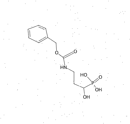 O=C(NCCC(O)P(=O)(O)O)OCc1ccccc1